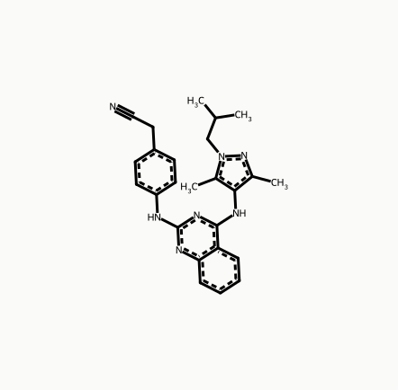 Cc1nn(CC(C)C)c(C)c1Nc1nc(Nc2ccc(CC#N)cc2)nc2ccccc12